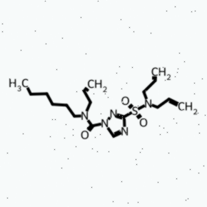 C=CCN(CCCCCC)C(=O)n1cnc(S(=O)(=O)N(CC=C)CC=C)n1